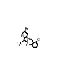 FC(F)(F)c1nn(Cc2c(Cl)cccc2Cl)c2cc(Br)cnc12